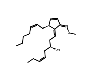 CC/C=C\C[C@H](O)C/C=C1/C(=N\OC)C=C[C@@H]1C/C=C\CCCC